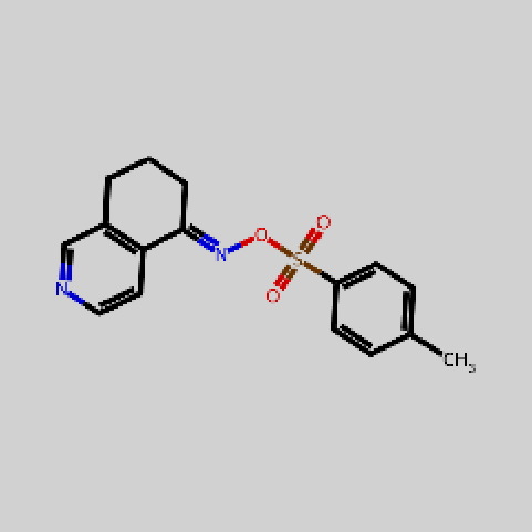 Cc1ccc(S(=O)(=O)ON=C2CCCc3cnccc32)cc1